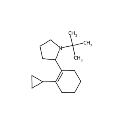 CC(C)(C)N1CCCC1C1=C(C2CC2)CCCC1